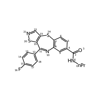 CCCNC(=O)c1ccc2c(c1)N=C(c1ccc(F)cc1)c1sncc1S2